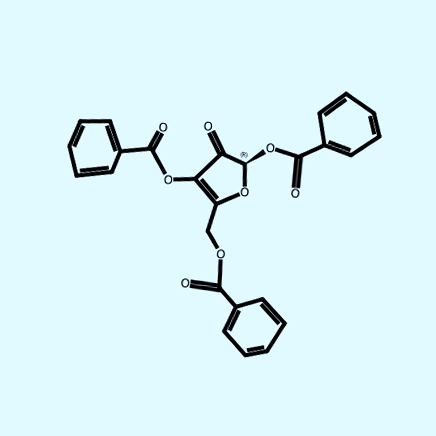 O=C(OCC1=C(OC(=O)c2ccccc2)C(=O)[C@@H](OC(=O)c2ccccc2)O1)c1ccccc1